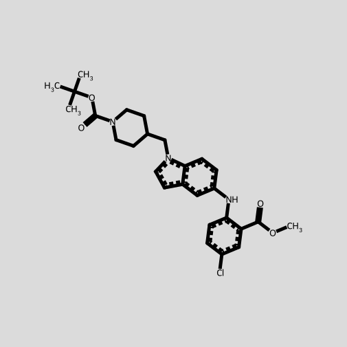 COC(=O)c1cc(Cl)ccc1Nc1ccc2c(ccn2CC2CCN(C(=O)OC(C)(C)C)CC2)c1